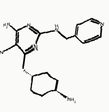 Nc1nc(NCc2ccncc2)nc(C[C@H]2CC[C@H](N)CC2)c1[N+](=O)[O-]